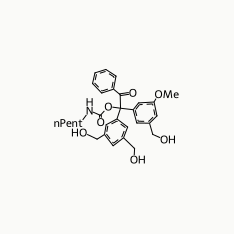 CCCCCNC(=O)OC(C(=O)c1ccccc1)(c1cc(CO)cc(CO)c1)c1cc(CO)cc(OC)c1